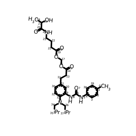 Cc1ccc(NC(=O)Nc2cc(CCC(=O)OCOC(=O)CCCNC(=O)C(C)O)ccc2N(CC(C)C)CC(C)C)cc1